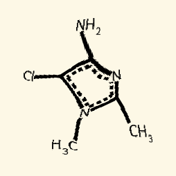 Cc1nc(N)c(Cl)n1C